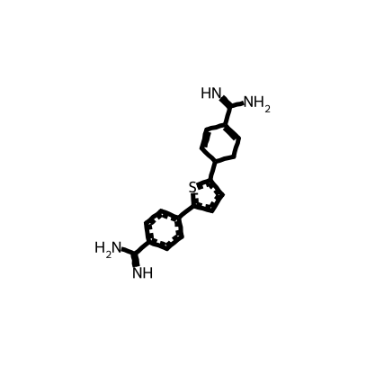 N=C(N)C1=CCC(c2ccc(-c3ccc(C(=N)N)cc3)s2)C=C1